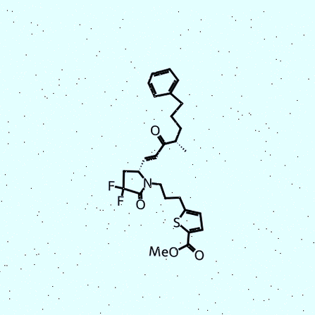 COC(=O)c1ccc(CCCN2C(=O)C(F)(F)C[C@@H]2/C=C/C(=O)[C@@H](C)CCCc2ccccc2)s1